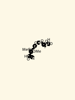 COc1cc(-c2c[nH]c(=O)c3cnccc23)cc(OC)c1CCN1CCC(OC2CCN(C(=O)c3ccc(F)c(N4CCC(=O)NC4=O)c3)CC2)CC1